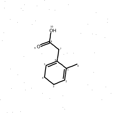 CC1=CCCC=C1CC(=O)O